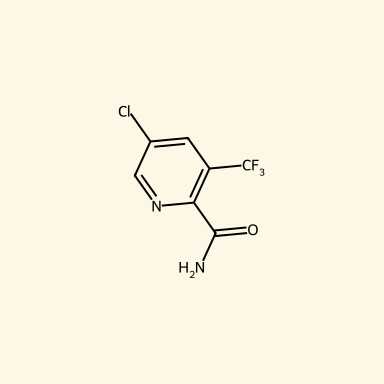 NC(=O)c1ncc(Cl)cc1C(F)(F)F